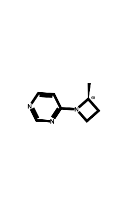 C[C@H]1CCN1c1ccncn1